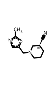 Cc1ncc(CN2CCC[C@H](C#N)C2)s1